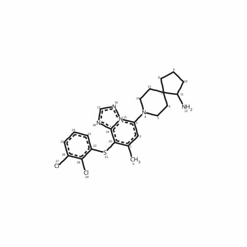 Cc1cc(N2CCC3(CCCC3N)CC2)n2ncnc2c1Sc1cccc(Cl)c1Cl